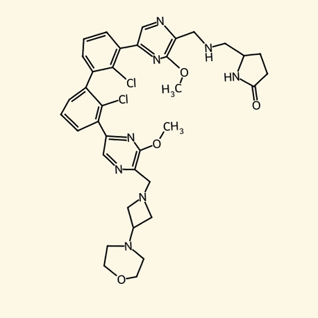 COc1nc(-c2cccc(-c3cccc(-c4cnc(CN5CC(N6CCOCC6)C5)c(OC)n4)c3Cl)c2Cl)cnc1CNCC1CCC(=O)N1